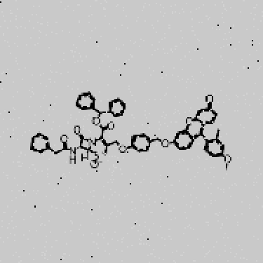 COc1ccc(-c2c3ccc(=O)cc-3oc3cc(OCc4ccc(OCC5=C(C(=O)OC(c6ccccc6)c6ccccc6)N6C(=O)[C@@H](NC(=O)Cc7ccccc7)[C@H]6[S+]([O-])C5)cc4)ccc23)c(C)c1